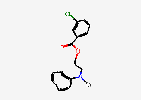 CCN(CCOC(=O)c1cccc(Cl)c1)c1ccccc1